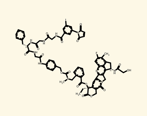 CC[C@@]1(OC(=O)c2ccccc2CN(C)C(=O)OCc2ccc(NC(=O)CNC(=O)[C@H](Cc3ccccc3)NC(=O)CNC(=O)CNC(=O)c3cc(I)cc(N4C(=O)C=CC4=O)c3)cc2)C(=O)OCc2c1cc1n(c2=O)Cc2c-1nc1cc(F)c(C)c3c1c2[C@@H](NC(=O)CO)C3